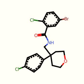 O=C(NCC1(c2ccc(Cl)cc2)CCOCC1)c1cc(Br)ccc1Cl